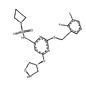 O=S(=O)(Nc1cc(O[C@H]2CNOC2)nc(SCc2cccc(F)c2F)n1)N1CCC1